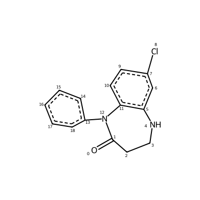 O=C1CCNc2cc(Cl)ccc2N1c1ccccc1